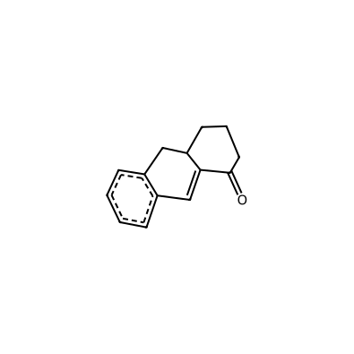 O=C1CCCC2Cc3ccccc3C=C12